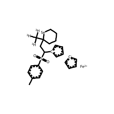 [2H]C([2H])([2H])C1(CC([c-]2cccc2)S(=O)(=O)c2ccc(C)cc2)CCCC[Se]1.[Fe+2].c1cc[cH-]c1